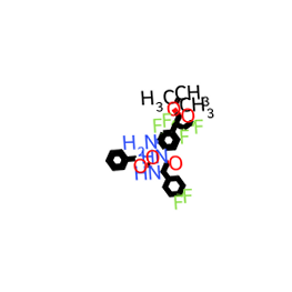 CC(C)(C)OC(=O)C(F)(c1ccc(NC(=O)[C@@H](NC(=O)OCc2ccccc2)C2CCC(F)(F)CC2)c(N)c1F)C(F)CF